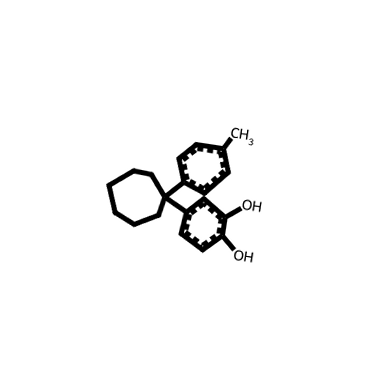 Cc1ccc(C2(c3ccc(O)c(O)c3)CCCCCC2)cc1